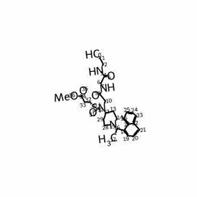 C#CCNC(=O)CNC(=O)CN(C1CCN(C(C)c2cccc3ccccc23)CC1)[S+]([O-])CCC(=O)OC